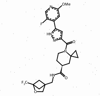 COc1cc(-c2cc(C(=O)N3CC[C@H](C(=O)NCC45COC(C(F)(F)F)(C4)C5)CC34CC4)n[nH]2)c(F)cn1